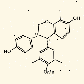 COc1c(C)cc([C@H]2c3ccc(O)c(C)c3OC[C@H]2c2ccc(O)cc2)cc1C